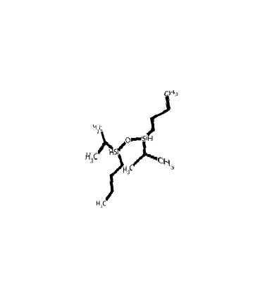 CCCC[SiH](O[SiH](CCCC)C(C)C)C(C)C